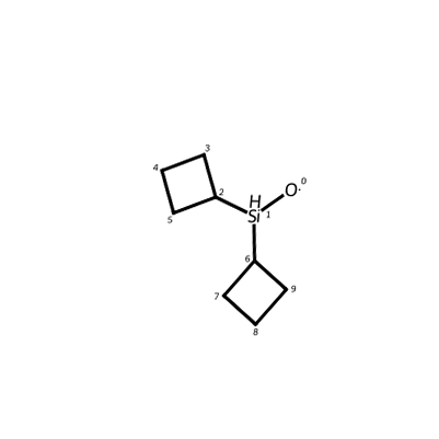 [O][SiH](C1CCC1)C1CCC1